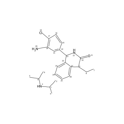 CC(C)NC(C)C.CCC1C(=O)NC(c2ccc(Cl)c(N)c2)c2ccccc21